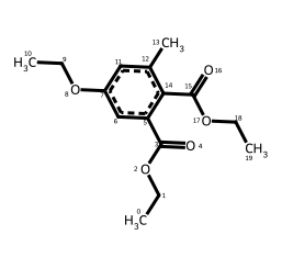 CCOC(=O)c1cc(OCC)cc(C)c1C(=O)OCC